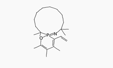 C=CC1=C(C)C(C)=C(C)OP12=NC(C)(C)CCCCCCCCC2(C)C